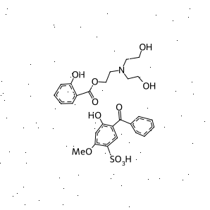 COc1cc(O)c(C(=O)c2ccccc2)cc1S(=O)(=O)O.O=C(OCCN(CCO)CCO)c1ccccc1O